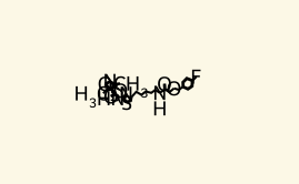 Cc1noc(C)c1S(=O)(=O)Nc1nc(CCCCCNC(=O)COCc2ccc(F)cc2)cs1